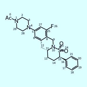 CC(=O)N1CCN(c2ccc(CN3[C@@H](C)CC[C@H](c4ccccc4)S3(=O)=O)c(F)c2)CC1